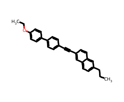 CCCc1ccc2cc(C#Cc3ccc(-c4ccc(OCC)cc4)cc3)ccc2c1